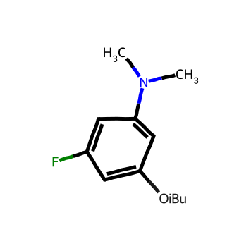 CC(C)COc1cc(F)cc(N(C)C)c1